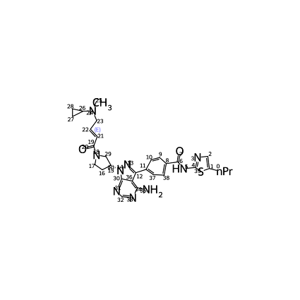 CCCc1cnc(NC(=O)c2ccc(-c3nn([C@@H]4CCN(C(=O)/C=C/CN(C)C5CC5)C4)c4ncnc(N)c34)cc2)s1